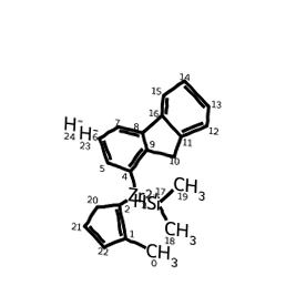 CC1=[C]([Zr+2]([c]2cccc3c2Cc2ccccc2-3)[SiH](C)C)CC=C1.[H-].[H-]